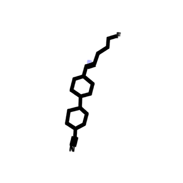 N#CC1CCC(C2CCC(/C=C/CCCF)CC2)CC1